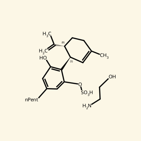 C=C(C)[C@@H]1CCC(C)=C[C@H]1c1c(O)cc(CCCCC)cc1OS(=O)(=O)O.NCCO